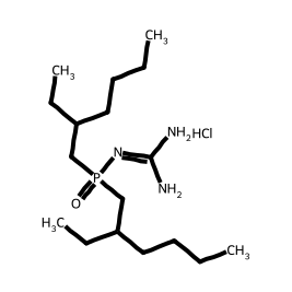 CCCCC(CC)CP(=O)(CC(CC)CCCC)N=C(N)N.Cl